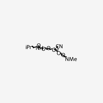 CNCCOCCOCC[C@@](C)(OCCOCCOCCC(=O)NC/C=C/C(C)C)SC#N